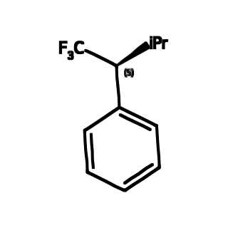 CC(C)[C@@H](c1ccccc1)C(F)(F)F